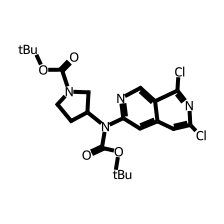 CC(C)(C)OC(=O)N1CCC(N(C(=O)OC(C)(C)C)c2cc3cc(Cl)nc(Cl)c3cn2)C1